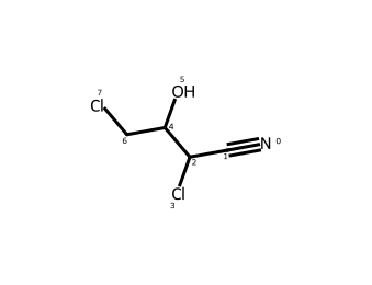 N#CC(Cl)C(O)CCl